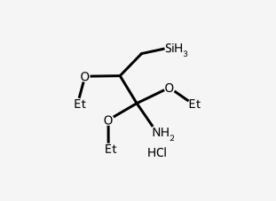 CCOC(C[SiH3])C(N)(OCC)OCC.Cl